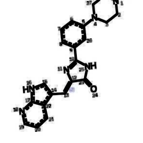 CN1CCN(c2cccc(C3=N/C(=C\c4c[nH]c5ncccc45)C(=O)N3)c2)CC1